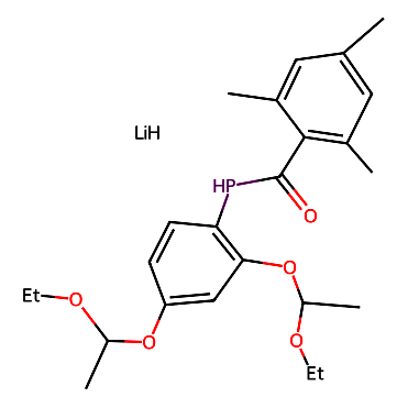 CCOC(C)Oc1ccc(PC(=O)c2c(C)cc(C)cc2C)c(OC(C)OCC)c1.[LiH]